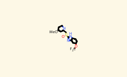 COc1ccnc(C[S+]([O-])c2nc3cc(OC(F)(F)F)ccc3[nH]2)c1